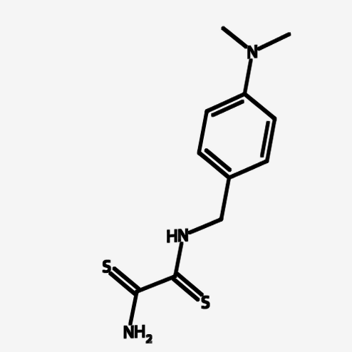 CN(C)c1ccc(CNC(=S)C(N)=S)cc1